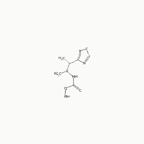 CC(c1ncon1)N(NC(=O)OC(C)(C)C)C(=O)O